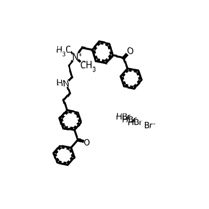 Br.Br.Br.C[N+](C)(CCNCCc1ccc(C(=O)c2ccccc2)cc1)Cc1ccc(C(=O)c2ccccc2)cc1.[Br-]